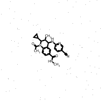 CNC(=O)c1ccc2c(c1)C(Nc1ccc(C#N)cn1)C(C)C(C1CC1)N2C(C)=O